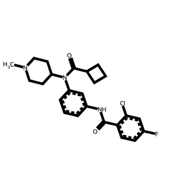 CN1CCC(N(C(=O)C2CCC2)c2cccc(NC(=O)c3ccc(F)cc3Cl)c2)CC1